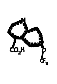 O=C(O)c1ccnc2ccc(OC(F)(F)F)cc12